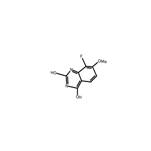 COc1ccc2c(O)nc(O)nc2c1F